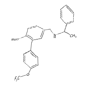 COc1ccc(CNC(C)c2ccccc2)cc1-c1ccc(OC(F)(F)F)cc1